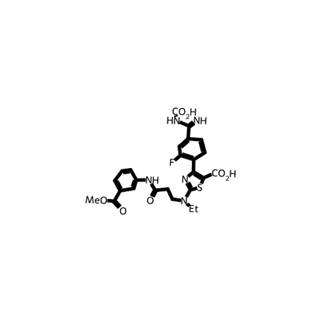 CCN(CCC(=O)Nc1cccc(C(=O)OC)c1)c1nc(-c2ccc(C(=N)NC(=O)O)cc2F)c(C(=O)O)s1